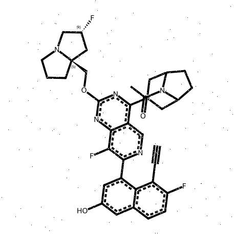 C#Cc1c(F)ccc2cc(O)cc(-c3ncc4c(N5CC6CCC(C5)N6C(C)=O)nc(OC[C@@]56CCCN5C[C@H](F)C6)nc4c3F)c12